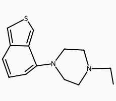 CCN1CCN(c2cccc3cscc23)CC1